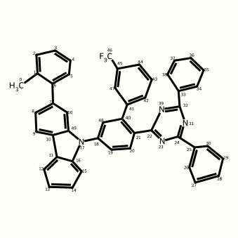 Cc1ccccc1-c1ccc2c3ccccc3n(-c3ccc(-c4nc(-c5ccccc5)nc(-c5ccccc5)n4)c(-c4cccc(C(F)(F)F)c4)c3)c2c1